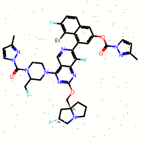 CCc1c(F)ccc2cc(OC(=O)n3ccc(C)n3)cc(-c3ncc4c(N5CCN(C(=O)n6ccc(C)n6)C(CF)C5)nc(OC[C@@]56CCCN5C[C@H](F)C6)nc4c3F)c12